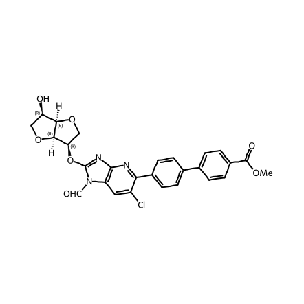 COC(=O)c1ccc(-c2ccc(-c3nc4nc(O[C@@H]5CO[C@H]6[C@@H]5OC[C@H]6O)n(C=O)c4cc3Cl)cc2)cc1